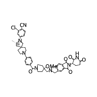 COC1(CN2Cc3cc4c(cc3C2)C(=O)N(C2CCC(=O)NC2=O)C4=O)CCN(C(=O)c2ccc(N3CCC4(CC3)C[C@H](C)N(c3ccc(C#N)c(Cl)c3)C4)cc2)CC1